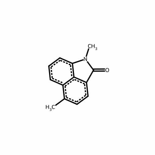 Cc1ccc2c3c(cccc13)N(C)C2=O